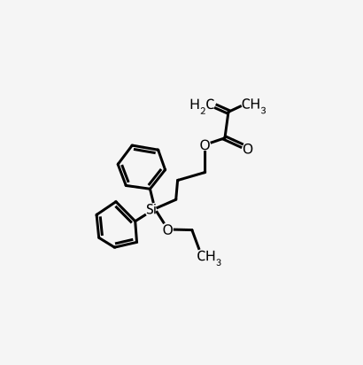 C=C(C)C(=O)OCCC[Si](OCC)(c1ccccc1)c1ccccc1